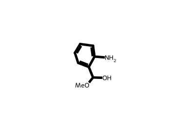 COC(O)c1ccccc1N